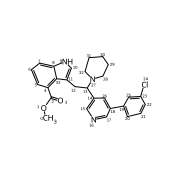 COC(=O)c1cccc2[nH]cc(CC(c3cncc(-c4cccc(Cl)c4)c3)N3CCCCC3)c12